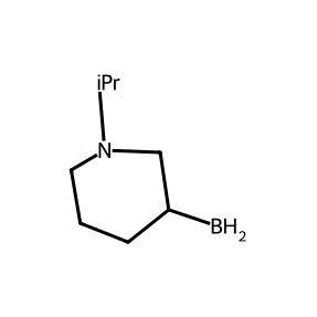 BC1CCCN(C(C)C)C1